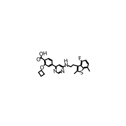 Cc1sc2c(C)ccc(F)c2c1CCNc1cc(-c2ccc(C(=O)O)c(OC3CCC3)c2)ncn1